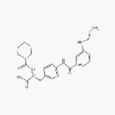 NN=CNc1cccc(C(=O)Nc2ccc(C[C@H](NC(=O)N3CCCCC3)C(=O)O)cc2)c1